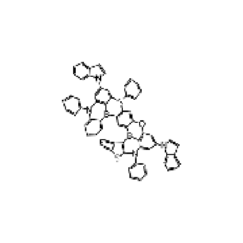 c1ccc(N2c3ccccc3B3c4cc5c(cc4N(c4ccccc4)c4cc(-n6ccc7ccccc76)cc2c43)Oc2cc(-n3ccc4ccccc43)cc3c2B5c2c(sc4ccccc24)N3c2ccccc2)cc1